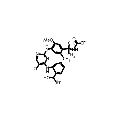 COc1cc(C(C)(C)NC(=O)C(F)(F)F)c(C)cc1Nc1ncc(Cl)c(Nc2ccccc2C(O)C(C)C)n1